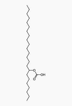 CCCCCCCCCCCCCCCC(CCCCCCC)OC(=O)O